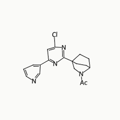 CC(=O)N1CC2(c3nc(Cl)cc(-c4cccnc4)n3)CCC1CC2